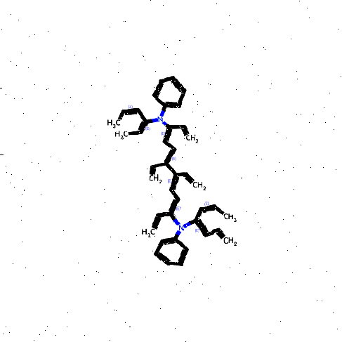 C=C/C=C(\C=C/C)N(/C(C=C)=C/C=C(C=C)/C(C=C)=C/C=C(\C=C)N(C(/C=C\C)=C/C)c1ccccc1)c1ccccc1